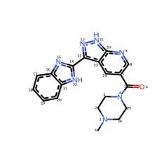 CN1CCN(C(=O)c2cnc3[nH]nc(-c4nc5ccccc5[nH]4)c3c2)CC1